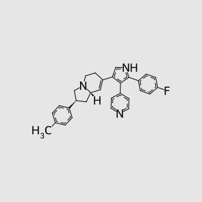 Cc1ccc([C@@H]2C[C@H]3C=C(c4c[nH]c(-c5ccc(F)cc5)c4-c4ccncc4)CCN3C2)cc1